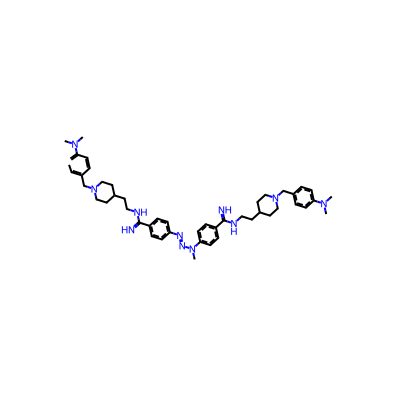 C=C(/C=C\C(=C/C)CN1CCC(CCNC(=N)c2ccc(/N=N/N(C)c3ccc(C(=N)NCCC4CCN(Cc5ccc(N(C)C)cc5)CC4)cc3)cc2)CC1)N(C)C